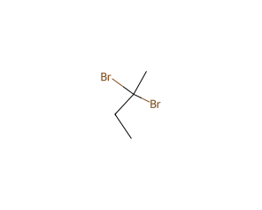 CCC(C)(Br)Br